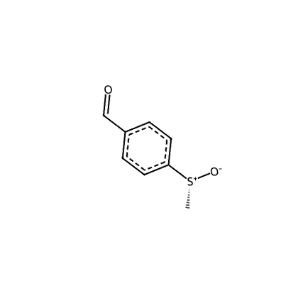 C[S@@+]([O-])c1ccc(C=O)cc1